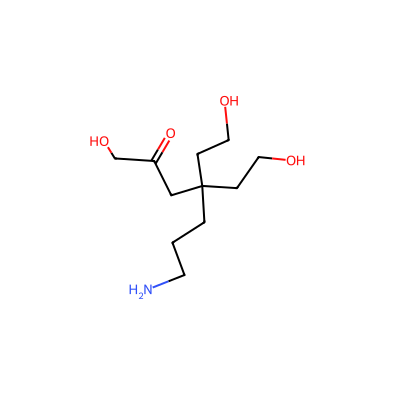 NCCCC(CCO)(CCO)CC(=O)CO